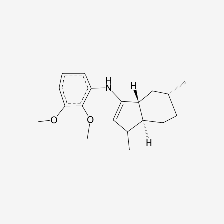 COc1cccc(NC2=CC(C)[C@@H]3CC[C@@H](C)C[C@@H]23)c1OC